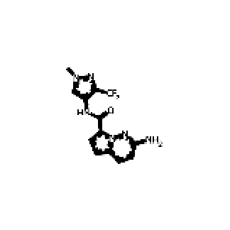 Cn1cc(NC(=O)c2ccc3ccc(N)nn23)c(C(F)(F)F)n1